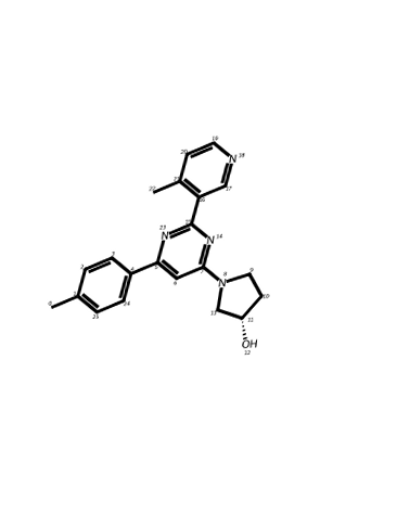 Cc1ccc(-c2cc(N3CC[C@H](O)C3)nc(-c3cnccc3C)n2)cc1